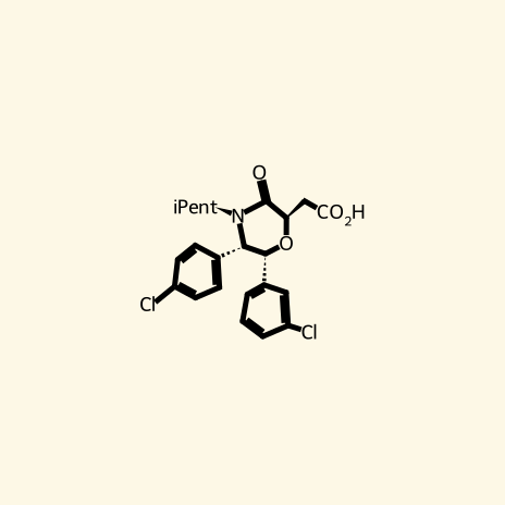 CCC[C@H](C)N1C(=O)[C@@H](CC(=O)O)O[C@H](c2cccc(Cl)c2)[C@@H]1c1ccc(Cl)cc1